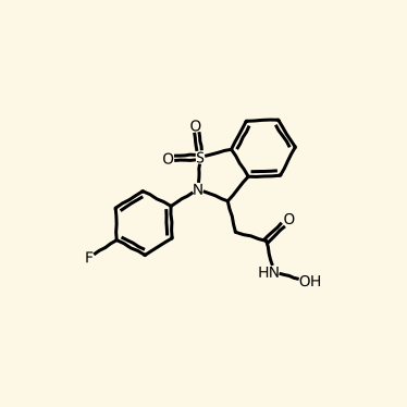 O=C(CC1c2ccccc2S(=O)(=O)N1c1ccc(F)cc1)NO